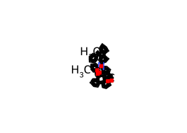 Cc1ccc(N(c2ccc3c(c2)C(C)(c2ccccc2)c2ccccc2-3)c2ccc3c(c2)C2(c4ccccc4-c4ccccc4-c4ccccc42)c2ccccc2-3)c(C)c1